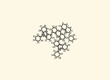 c1ccc(-c2ccc3cccc(-c4c5cccc(-c6cccc7c6c6ccccc6n7-c6ccccc6)c5cc5c(-c6cccc7c6c6ccccc6n7-c6ccccc6)cccc45)c3c2)cc1